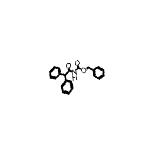 O=C(NC(=O)C(c1ccccc1)c1ccccc1)OCc1ccccc1